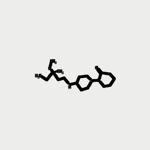 CC[C@](C)(CCNC1CCN(N2CCCCC2=O)CC1)OC